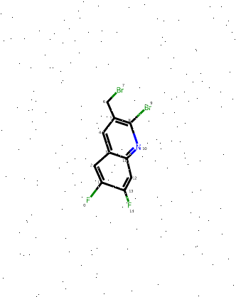 Fc1cc2cc(CBr)c(Br)nc2cc1F